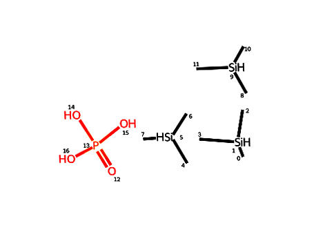 C[SiH](C)C.C[SiH](C)C.C[SiH](C)C.O=P(O)(O)O